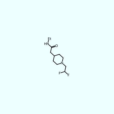 CCNC(=O)CC1CCN(CC(F)F)CC1